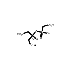 O=C(O)CC(CC(=O)O)(OP(=O)(O)CC(=O)O)C(=O)O